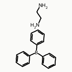 NCCN.c1ccc(B(c2ccccc2)c2ccccc2)cc1